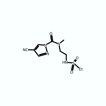 CCS(=O)(=O)NCCN(C)C(=O)n1cc(C#N)cn1